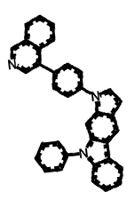 c1ccc(-n2c3ccccc3c3cc4ccn(-c5ccc(-c6cncc7ccccc67)cc5)c4cc32)cc1